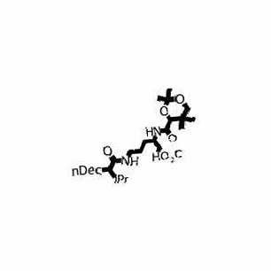 CCCCCCCCCCC(C(=O)NCCCC(CC(=O)O)NC(=O)C1OC(C)(C)OCC1(C)C)C(C)C